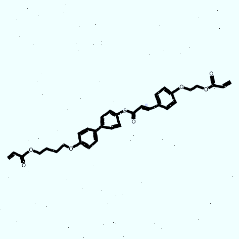 C=CC(=O)OCCCCOc1ccc(-c2ccc(SC(=O)/C=C/c3ccc(OCCOC(=O)C=C)cc3)cc2)cc1